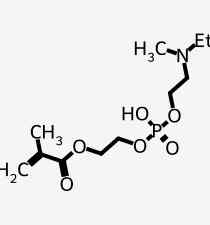 C=C(C)C(=O)OCCOP(=O)(O)OCCN(C)CC